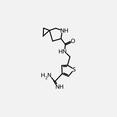 N=C(N)c1csc(CNC(=O)C2CC3(CC3)CN2)c1